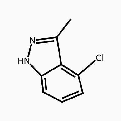 Cc1n[nH]c2cccc(Cl)c12